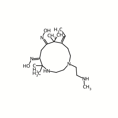 C/C=C1/CCN(CCNC)CCNC(C)(C)/C(=N\O)C/C(=N/O)C1(C)C